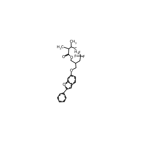 CC(C)C(C)C(=O)OCC(COc1ccc2cc(-c3ccccc3)oc2c1)CC(F)(F)F